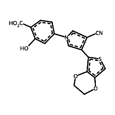 N#Cc1cn(-c2ccc(C(=O)O)c(O)c2)cc1-c1scc2c1OCCO2